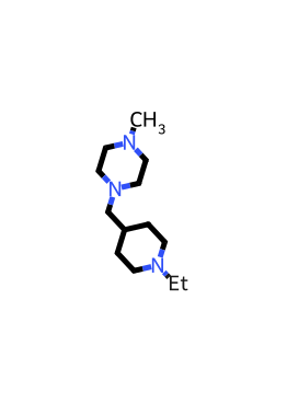 CCN1CCC(CN2CCN(C)CC2)CC1